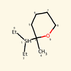 CC[SiH](CC)C1(C)CCCCO1